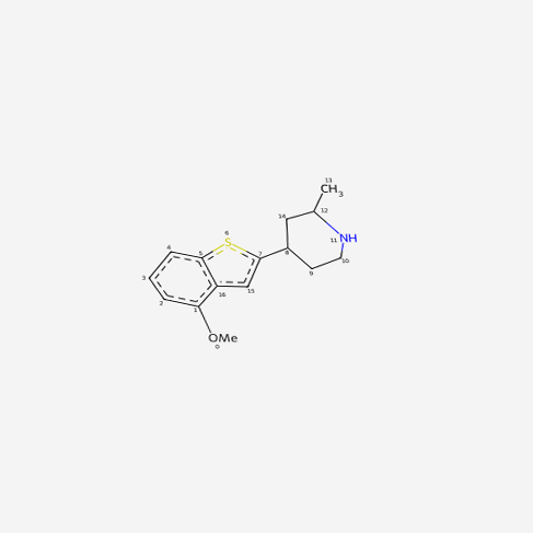 COc1cccc2sc(C3CCNC(C)C3)cc12